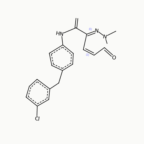 C=C(Nc1ccc(Cc2cccc(Cl)c2)cc1)C(/C=C\C=O)=N/N(C)C